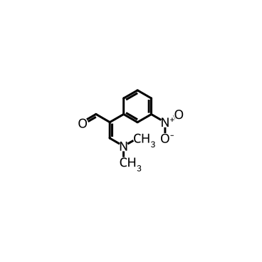 CN(C)/C=C(/C=O)c1cccc([N+](=O)[O-])c1